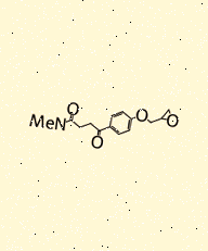 CNC(=O)CCC(=O)c1ccc(OCC2CO2)cc1